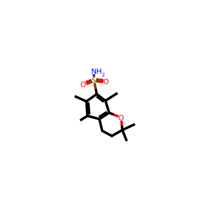 Cc1c(C)c(S(N)(=O)=O)c(C)c2c1CCC(C)(C)O2